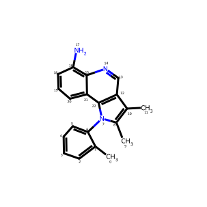 Cc1ccccc1-n1c(C)c(C)c2cnc3c(N)cccc3c21